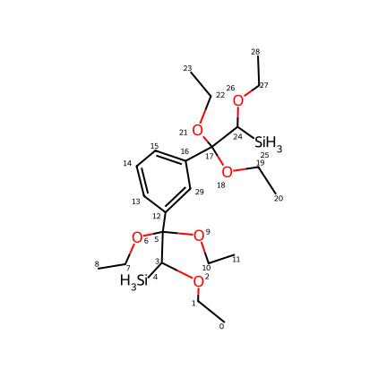 CCOC([SiH3])C(OCC)(OCC)c1cccc(C(OCC)(OCC)C([SiH3])OCC)c1